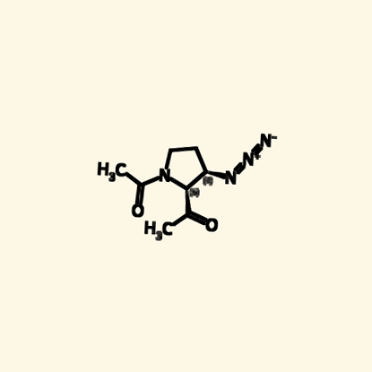 CC(=O)[C@@H]1[C@H](N=[N+]=[N-])CCN1C(C)=O